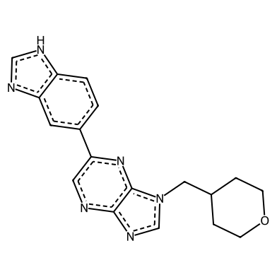 c1nc2cc(-c3cnc4ncn(CC5CCOCC5)c4n3)ccc2[nH]1